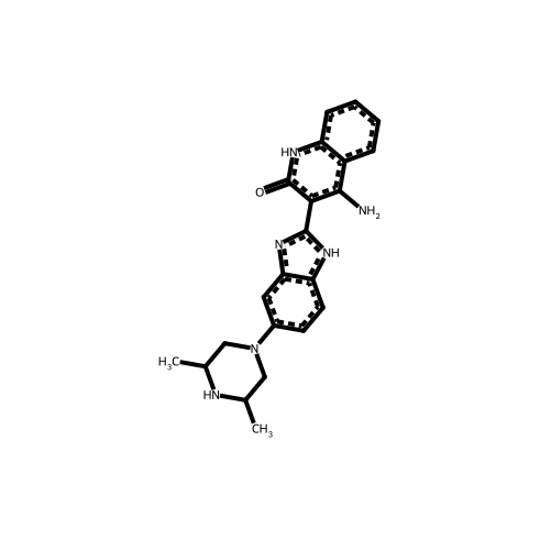 CC1CN(c2ccc3[nH]c(-c4c(N)c5ccccc5[nH]c4=O)nc3c2)CC(C)N1